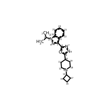 CC(C)n1nc(-c2nnc(C3CCN(C4CCC4)CC3)o2)c2ccccc21